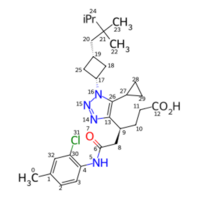 Cc1ccc(NC(=O)C[C@H](CCC(=O)O)c2nnn([C@H]3C[C@@H](CC(C)(C)C(C)C)C3)c2C2CC2)c(Cl)c1